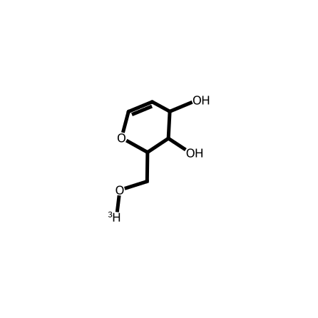 [3H]OCC1OC=CC(O)C1O